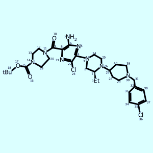 CC[C@H]1CN(c2nc(N)c(C(=O)N3CCN(C(=O)OC(C)(C)C)CC3)nc2Cl)CCN1C1CCN(Cc2ccc(Cl)cc2)CC1